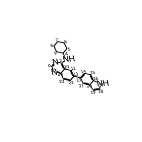 c1nc(NC2CCCCC2)c2cc(-c3ccc4[nH]ccc4c3)ccc2n1